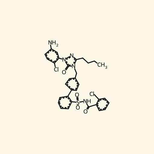 CCCCc1nn(-c2cc(N)ccc2Cl)c(=O)n1Cc1ccc(-c2ccccc2S(=O)(=O)NC(=O)c2ccccc2Cl)cc1